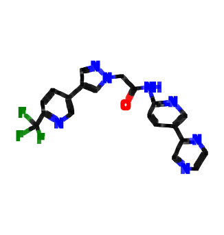 O=C(Cn1cc(-c2ccc(C(F)(F)F)nc2)cn1)Nc1ccc(-c2cnccn2)cn1